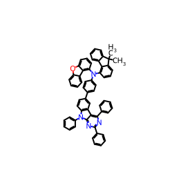 CC1(C)c2ccccc2-c2c(N(c3ccc(-c4ccc5c(c4)c4c(-c6ccccc6)nc(-c6ccccc6)nc4n5-c4ccccc4)cc3)c3cccc4oc5ccccc5c34)cccc21